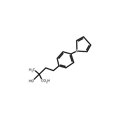 CC(O)(CCc1ccc(-n2cccc2)cc1)C(=O)O